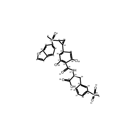 CP(=O)(c1ccc2ccoc2c1)C1C=C1c1cc(Cl)c(C(=O)N[C@@H](Cc2cccc(S(C)(=O)=O)c2)C(=O)O)c(Cl)c1